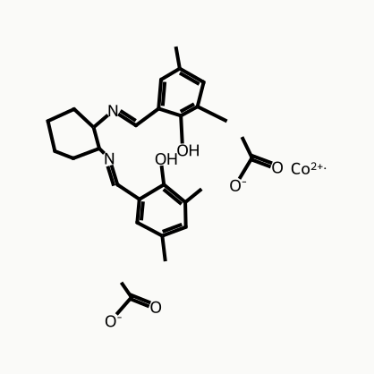 CC(=O)[O-].CC(=O)[O-].Cc1cc(C)c(O)c(C=NC2CCCCC2N=Cc2cc(C)cc(C)c2O)c1.[Co+2]